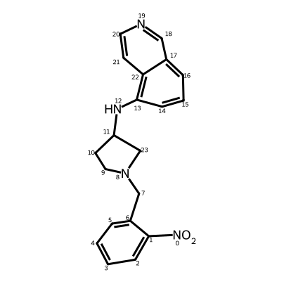 O=[N+]([O-])c1ccccc1CN1CCC(Nc2cccc3cnccc23)C1